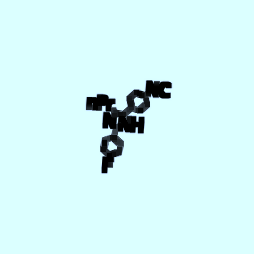 [C-]#[N+]c1ccc(-c2[nH]c(-c3ccc(F)cc3)nc2CCC)cc1